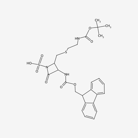 CC(C)(C)OC(=O)NCCSCC1C(NC(=O)OCC2c3ccccc3-c3ccccc32)C(=O)N1S(=O)(=O)O